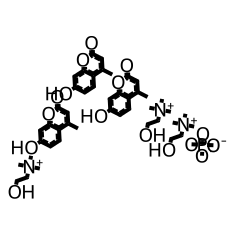 C[N+](C)(C)CCO.C[N+](C)(C)CCO.C[N+](C)(C)CCO.Cc1cc(=O)oc2cc(O)ccc12.Cc1cc(=O)oc2cc(O)ccc12.Cc1cc(=O)oc2cc(O)ccc12.O=P([O-])([O-])[O-]